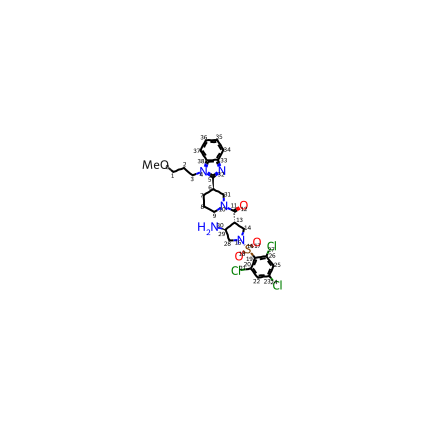 COCCCn1c([C@@H]2CCCN(C(=O)[C@@H]3CN(S(=O)(=O)c4c(Cl)cc(Cl)cc4Cl)C[C@H]3N)C2)nc2ccccc21